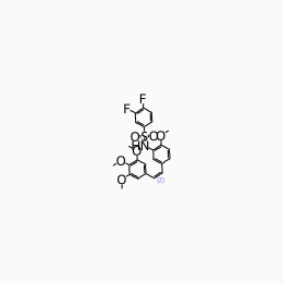 COc1ccc(/C=C\c2cc(OC)c(OC)c(OC)c2)cc1NS(=O)(=O)c1ccc(F)c(F)c1